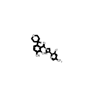 COc1c(C#N)ccc(C2(F)CCOCC2)c1C(=O)N1CC(c2ncc(C(F)(F)F)cc2Cl)C1